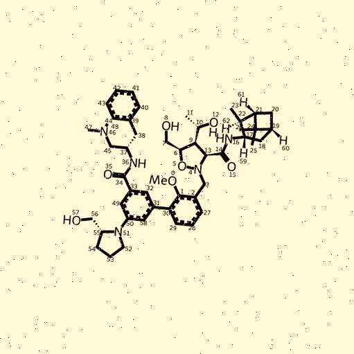 COc1c(CN2O[C@@H](CO)[C@@H]([C@H](C)O)[C@H]2C(=O)N[C@H]2C[C@H]3C[C@@H]([C@@H]2C)C3(C)C)cccc1-c1cc(C(=O)N[C@@H](Cc2ccccc2)CN(C)C)cc(N2CCC[C@@H]2CO)c1